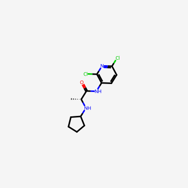 C[C@@H](NC1CCCC1)C(=O)Nc1ccc(Cl)nc1Cl